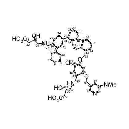 CNc1cncc(COc2cc(OCc3cccc(-c4cccc(-c5ccc(CNC[C@@H](O)CC(=O)O)c(-c6ccccc6)c5)c4C)c3C)c(Cl)cc2CNC[C@@H](O)CC(=O)O)c1